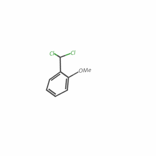 COc1ccccc1C(Cl)Cl